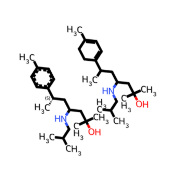 CC1=CC=C(C(C)CC(CC(C)(C)O)NCC(C)C)CC1.Cc1ccc([C@@H](C)CC(CC(C)(C)O)NCC(C)C)cc1